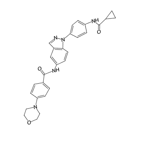 O=C(Nc1ccc2c(cnn2-c2ccc(NC(=O)C3CC3)cc2)c1)c1ccc(N2CCOCC2)cc1